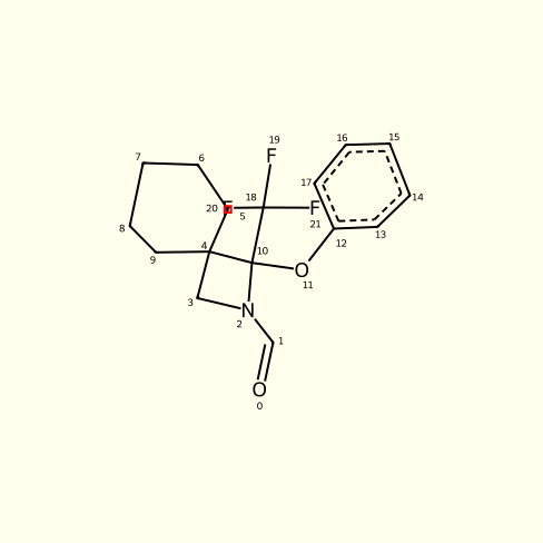 O=CN1CC2(CCCCC2)C1(Oc1ccccc1)C(F)(F)F